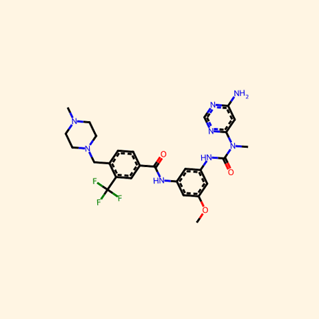 COc1cc(NC(=O)c2ccc(CN3CCN(C)CC3)c(C(F)(F)F)c2)cc(NC(=O)N(C)c2cc(N)ncn2)c1